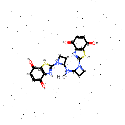 CN(C1CCN1c1nc2c(s1)C(=O)C=CC2=O)C1CCN1c1nc2c(s1)C(=O)C=CC2=O